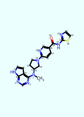 CN(c1ncnc2[nH]ccc12)[C@H]1CCN(c2ccc(C(=O)Nc3nccs3)cn2)C1